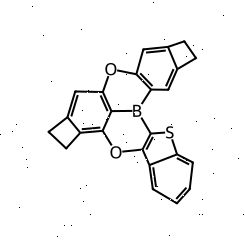 c1ccc2c3c(sc2c1)B1c2cc4c(cc2Oc2cc5c(c(c21)O3)CC5)CC4